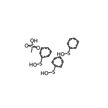 CS(=O)(=O)O.OSc1ccccc1.OSc1ccccc1.OSc1ccccc1